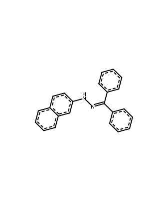 c1ccc(C(=NNc2ccc3ccccc3c2)c2ccccc2)cc1